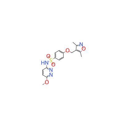 COc1ccc(NS(=O)(=O)c2ccc(OCc3c(C)noc3C)cc2)nn1